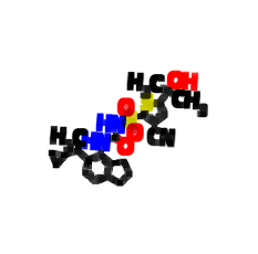 C[C@@H](c1ccc2c(c1NC(=O)NS(=O)(=O)c1sc(C(C)(C)O)cc1C#N)CCC2)C1CC1